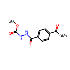 COC(=O)c1ccc(C(=O)NNC(=O)OC(C)(C)C)cc1